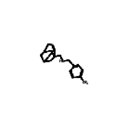 Cc1ccc(CNCC23CC4CC(CC(C4)C2)C3)cc1